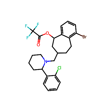 O=C(OC1CC(CN2CCCCC2c2ccccc2Cl)CCc2c(Br)cccc21)C(F)(F)F